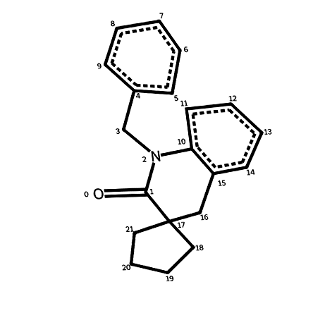 O=C1N(Cc2ccccc2)c2ccccc2CC12CCCC2